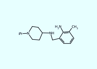 Cc1cccc(CNC2CCN(C(C)C)CC2)c1N